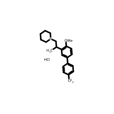 COc1ccc(-c2ccc(C(F)(F)F)cc2)cc1C(C)CN1CCCCC1.Cl